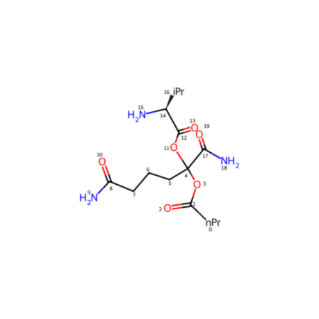 CCCC(=O)OC(CCCC(N)=O)(OC(=O)[C@@H](N)C(C)C)C(N)=O